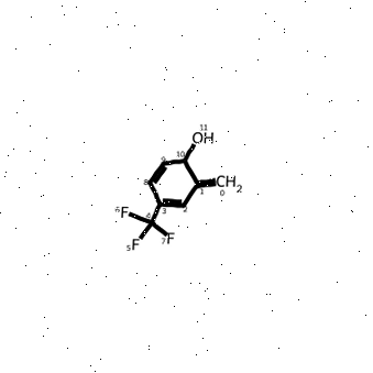 C=C1C=C(C(F)(F)F)C=CC1O